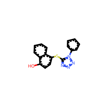 Oc1ccc(Sc2nnnn2-c2ccccc2)c2ccccc12